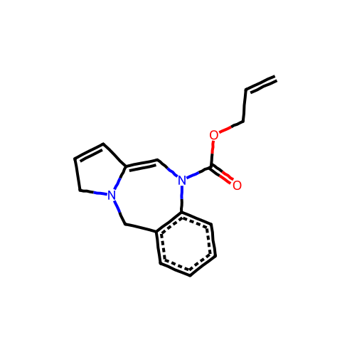 C=CCOC(=O)N1C=C2C=CCN2Cc2ccccc21